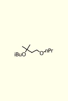 CCCOCCC(C)(C)OCC(C)C